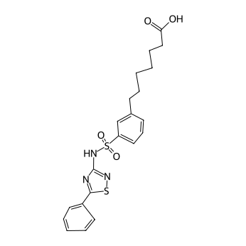 O=C(O)CCCCCCc1cccc(S(=O)(=O)Nc2nsc(-c3ccccc3)n2)c1